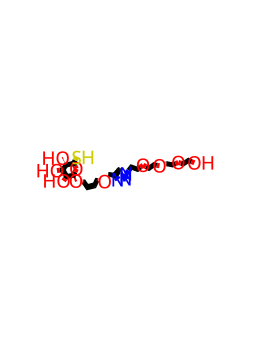 OCCOCCOCCOCCn1cc(COC/C=C\CO[C@@H]2OC(S)[C@@H](O)C(O)C2O)nn1